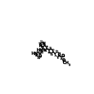 COCC(=O)N1CCC(c2ccc(-c3cc4nccnc4c(NCC4CNCCO4)n3)cc2)CC1